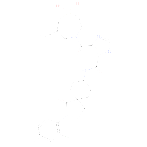 CC1CN(C(=O)c2nc[nH]c2C(=O)NC2CCC3(CC2)CCN(c2ccc(F)cc2Cl)C3=O)CCS(O)(O)C1